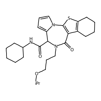 CC(C)OCCCN1C(=O)c2c(sc3c2CCCC3)-n2cccc2C1C(=O)NC1CCCCC1